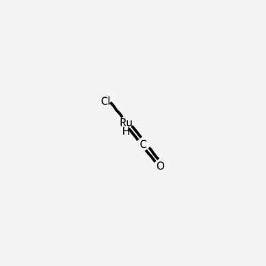 O=[C]=[RuH][Cl]